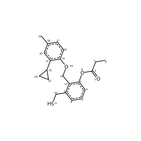 CCC(=O)Oc1cccc(CS)c1COc1ccc(C)cc1C1CC1